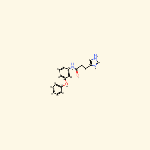 O=C(CCc1c[nH]cn1)Nc1cccc(Oc2ccccc2)c1